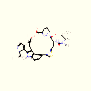 CCn1c(-c2cccnc2[C@H](C)OC)c2c3cc(ccc31)C1CSC(=N1)C[C@H](NC(=O)N(C)[C@@H](C)COC)C(=O)N1CCC[C@H](N1)C(=O)OCC(C)(C)C2